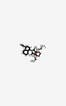 CCC[C@]12CC[C@](CCO)(O1)[C@@H]1C(=O)N(c3ccc(C#N)c4ccccc34)C(=O)[C@@H]12